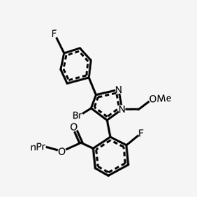 CCCOC(=O)c1cccc(F)c1-c1c(Br)c(-c2ccc(F)cc2)nn1COC